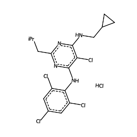 CC(C)Cc1nc(NCC2CC2)c(Cl)c(Nc2c(Cl)cc(Cl)cc2Cl)n1.Cl